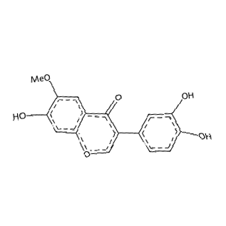 COc1cc2c(=O)c(-c3ccc(O)c(O)c3)coc2cc1O